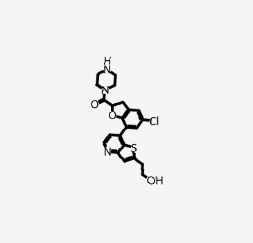 O=C(C1Cc2cc(Cl)cc(-c3ccnc4cc(CCO)sc34)c2O1)N1CCNCC1